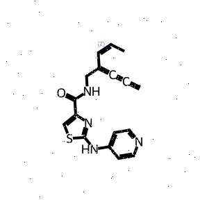 C=C=C=C(/C=C\C)CNC(=O)c1csc(Nc2ccncc2)n1